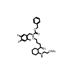 CCC(CCCON(Cc1cc(F)c(F)cc1F)C(=O)OCc1ccccc1)C1CCCCC1N(C)CCOC